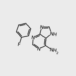 Fc1ccccc1.Nc1ncnc2nc[nH]c12